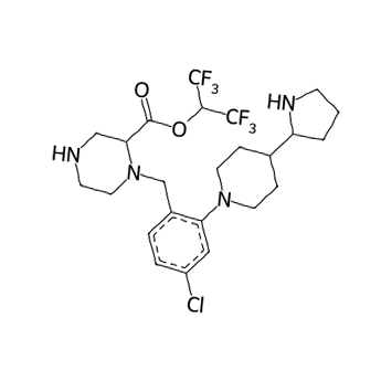 O=C(OC(C(F)(F)F)C(F)(F)F)C1CNCCN1Cc1ccc(Cl)cc1N1CCC(C2CCCN2)CC1